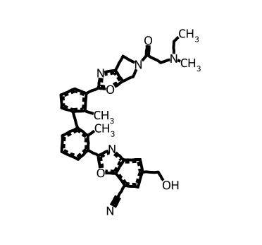 CCN(C)CC(=O)N1Cc2nc(-c3cccc(-c4cccc(-c5nc6cc(CO)cc(C#N)c6o5)c4C)c3C)oc2C1